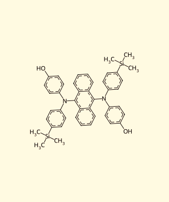 C[Si](C)(C)c1ccc(N(c2ccc(O)cc2)c2c3ccccc3c(N(c3ccc(O)cc3)c3ccc([Si](C)(C)C)cc3)c3ccccc23)cc1